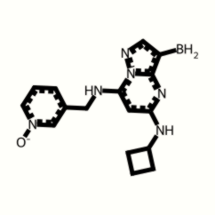 Bc1cnn2c(NCc3ccc[n+]([O-])c3)cc(NC3CCC3)nc12